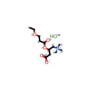 CCOCCC(=O)OC(CC(=O)[O-])C[N+](C)(C)C.Cl